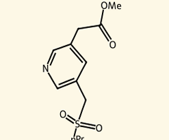 CCCS(=O)(=O)Cc1cncc(CC(=O)OC)c1